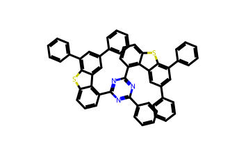 c1ccc(-c2cc(-c3ccccc3)c3sc4cccc(-c5nc(-c6ccccc6)nc(-c6cccc7sc8c(-c9ccccc9)cc(-c9ccccc9)cc8c67)n5)c4c3c2)cc1